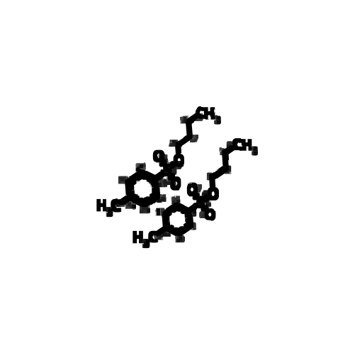 CCCCOS(=O)(=O)c1ccc(C)cc1.CCCCOS(=O)(=O)c1ccc(C)cc1